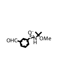 COC(C)(C)N[S+]([O-])c1cccc(C=O)c1